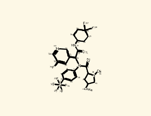 COC1CC(C(=O)N(c2ccc(S(F)(F)(F)(F)F)cc2)C(C(=O)NC2CCC(F)(F)CC2)c2cncc(F)c2)N(C#N)C1